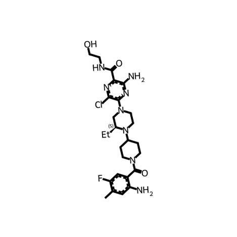 CC[C@H]1CN(c2nc(N)c(C(=O)NCCO)nc2Cl)CCN1C1CCN(C(=O)c2cc(F)c(C)cc2N)CC1